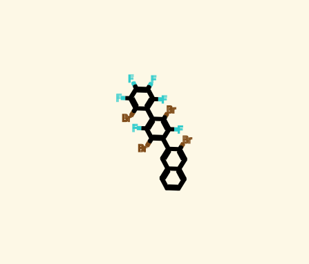 Fc1c(F)c(F)c(-c2c(F)c(Br)c(-c3cc4ccccc4cc3Br)c(F)c2Br)c(Br)c1F